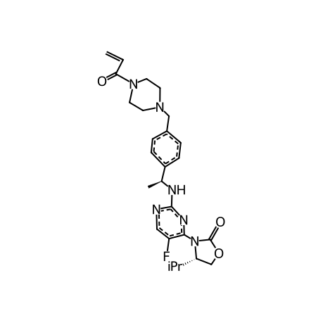 C=CC(=O)N1CCN(Cc2ccc([C@H](C)Nc3ncc(F)c(N4C(=O)OC[C@@H]4C(C)C)n3)cc2)CC1